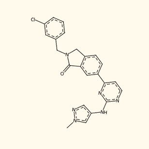 Cn1cc(Nc2nccc(-c3ccc4c(c3)C(=O)N(Cc3cccc(Cl)c3)C4)n2)cn1